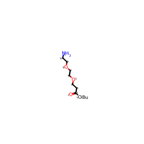 CC(C)COC(=O)CCOCCOCCN